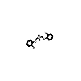 C[Si](C)(COc1ccccc1Br)COc1ccccc1Br